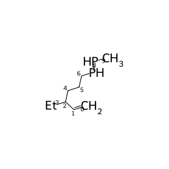 C=CC(CC)CCCPPC